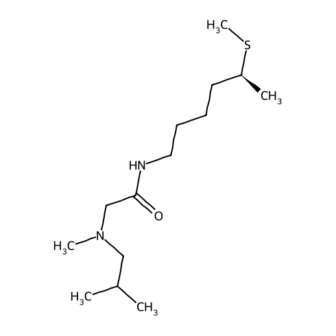 CS[C@@H](C)CCCCNC(=O)CN(C)CC(C)C